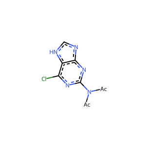 CC(=O)N(C(C)=O)c1nc(Cl)c2[nH]cnc2n1